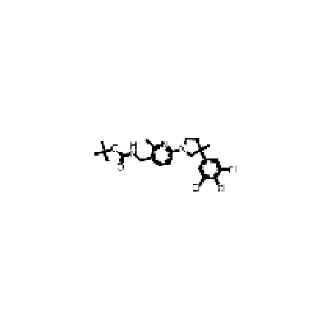 Cc1nc(N2CCC(C)(c3cc(Cl)c(Cl)c(Cl)c3)C2)ccc1CNC(=O)OC(C)(C)C